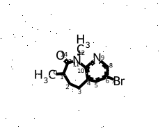 CC1CCc2cc(Br)cnc2N(C)C1=O